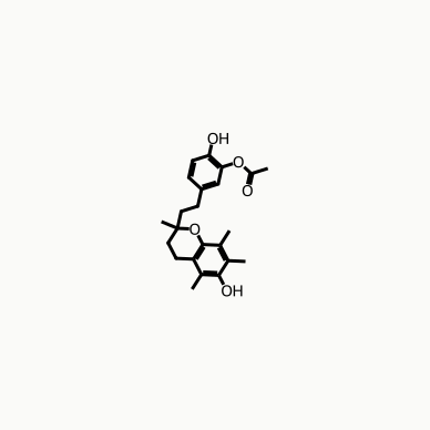 CC(=O)Oc1cc(CCC2(C)CCc3c(C)c(O)c(C)c(C)c3O2)ccc1O